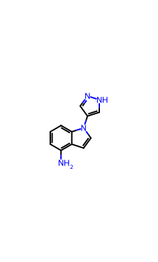 Nc1cccc2c1ccn2-c1cn[nH]c1